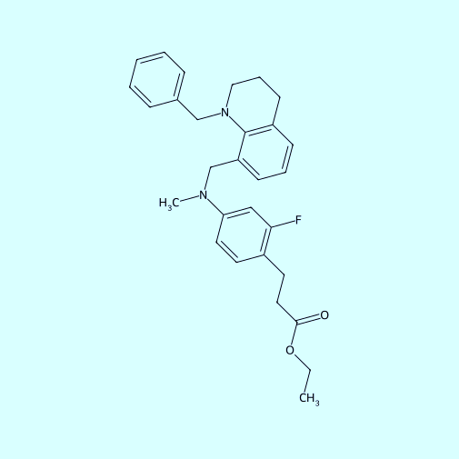 CCOC(=O)CCc1ccc(N(C)Cc2cccc3c2N(Cc2ccccc2)CCC3)cc1F